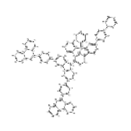 c1ccc(-c2ccc(-c3ccc4c(c3)[Si](c3ccccc3)(c3ccccc3)c3cc(-n5c6ccc(-c7ccc(-c8cc9ccccc9c9ccccc89)cc7)cc6c6cc(-c7ccc(-c8cc9ccccc9c9ccccc89)cc7)ccc65)ccc3-4)cc2)cc1